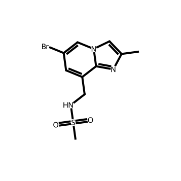 Cc1cn2cc(Br)cc(CNS(C)(=O)=O)c2n1